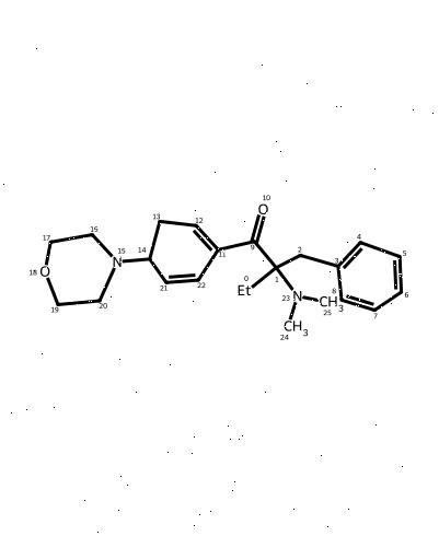 CCC(Cc1ccccc1)(C(=O)C1=CCC(N2CCOCC2)C=C1)N(C)C